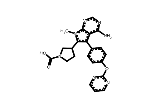 Cn1c(C2CCN(C(=O)O)C2)c(-c2ccc(Oc3ncccn3)cc2)c2c(N)ncnc21